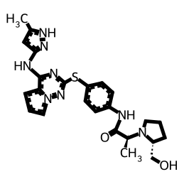 Cc1cc(Nc2nc(Sc3ccc(NC(=O)[C@H](C)N4CCC[C@@H]4CO)cc3)nn3cccc23)n[nH]1